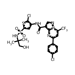 CC(C)(CO)NS(=O)(=O)c1cc(NC(=O)c2cnn3c(C(F)(F)F)cc(-c4ccc(Cl)cc4)nc23)c(Cl)s1